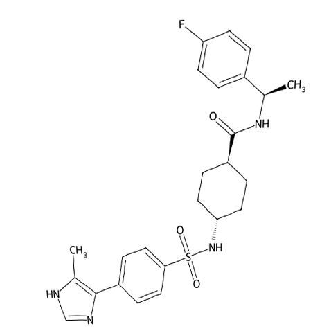 Cc1[nH]cnc1-c1ccc(S(=O)(=O)N[C@H]2CC[C@H](C(=O)N[C@H](C)c3ccc(F)cc3)CC2)cc1